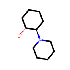 [O][C@@H]1CCCC[C@H]1N1CCCCC1